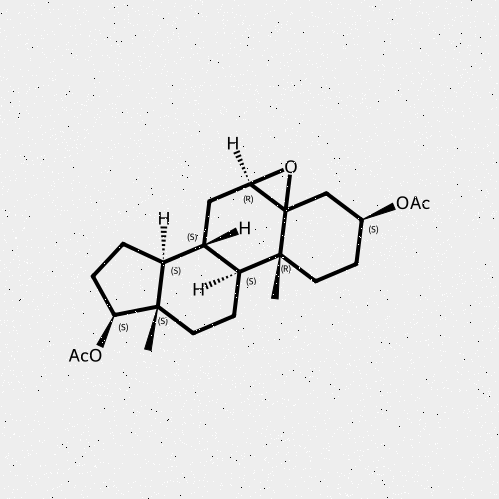 CC(=O)O[C@H]1CC[C@]2(C)[C@H]3CC[C@]4(C)[C@@H](OC(C)=O)CC[C@H]4[C@@H]3C[C@H]3OC32C1